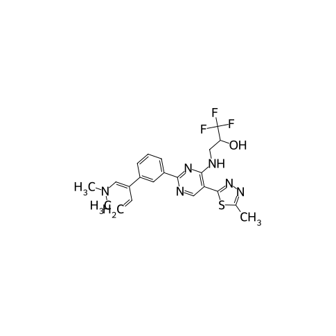 C=C/C(=C\N(C)C)c1cccc(-c2ncc(-c3nnc(C)s3)c(NCC(O)C(F)(F)F)n2)c1